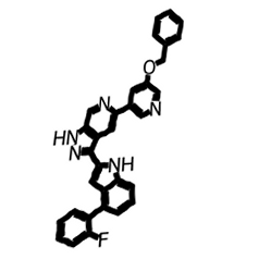 Fc1ccccc1-c1cccc2[nH]c(-c3n[nH]c4cnc(-c5cncc(OCc6ccccc6)c5)cc34)cc12